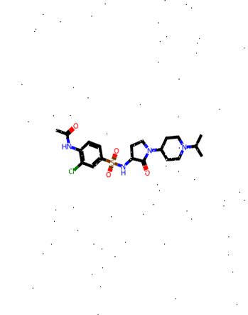 CC(=O)Nc1ccc(S(=O)(=O)NC2CCN(C3CCN(C(C)C)CC3)C2=O)cc1Cl